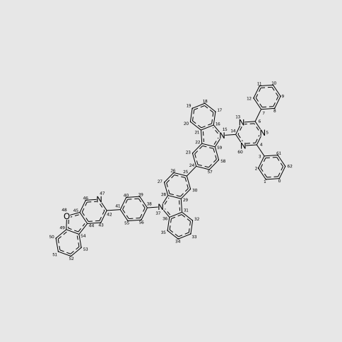 c1ccc(-c2nc(-c3ccccc3)nc(-n3c4ccccc4c4cc(-c5ccc6c(c5)c5ccccc5n6-c5ccc(-c6cc7c(cn6)oc6ccccc67)cc5)ccc43)n2)cc1